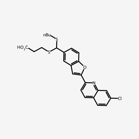 CCCCSC(SCCC(=O)O)c1ccc2oc(-c3ccc4ccc(Cl)cc4n3)cc2c1